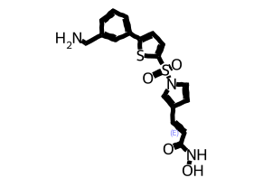 NCc1cccc(-c2ccc(S(=O)(=O)n3ccc(/C=C/C(=O)NO)c3)s2)c1